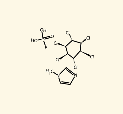 Cl[C@H]1[C@H](Cl)[C@@H](Cl)[C@@H](Cl)[C@H](Cl)[C@H]1Cl.Cn1ccnc1.O=P(O)(O)F